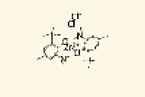 Cc1cc(N(C)C)c([O][Zr+2][O]c2c(N(C)C)cc(C)cc2C(C)(C)C)c(C(C)(C)C)c1.[Cl-].[Cl-]